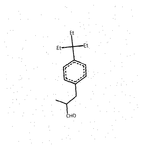 CCC(CC)(CC)c1ccc(CC(C)C=O)cc1